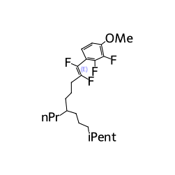 CCCC(C)CCCC(CCC)CCC/C(F)=C(\F)c1ccc(OC)c(F)c1F